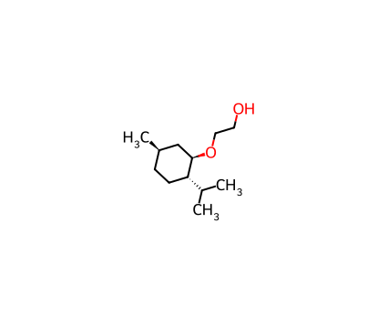 CC(C)[C@@H]1CC[C@@H](C)C[C@H]1OCCO